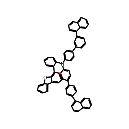 c1cc2c(oc3ccccc32)c(-c2ccccc2N(C2=CC=C(c3ccc(-c4cccc5ccccc45)cc3)CC2)c2ccc(-c3cccc(-c4cccc5ccccc45)c3)cc2)c#1